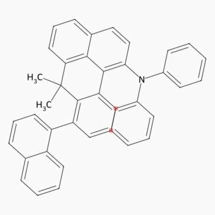 CC1(C)c2c(-c3cccc4ccccc34)cccc2-c2c(N(c3ccccc3)c3ccccc3)ccc3cccc1c23